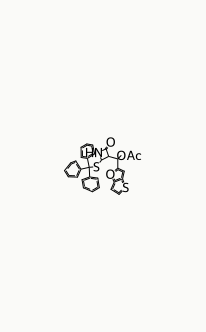 CC(=O)OC(c1cc2sccc2o1)C1C(=O)NC1SC(c1ccccc1)(c1ccccc1)c1ccccc1